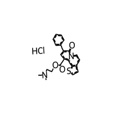 CN(C)CCOC(=O)c1cc(-c2ccccc2)c(=O)n2ccc3ccsc3c12.Cl